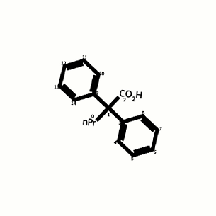 CCCC(C(=O)O)(c1ccccc1)c1ccccc1